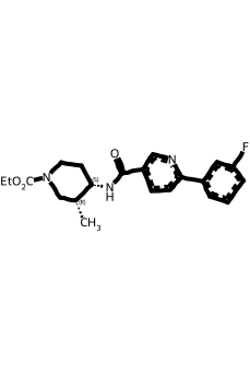 CCOC(=O)N1CC[C@H](NC(=O)c2ccc(-c3cccc(F)c3)nc2)[C@H](C)C1